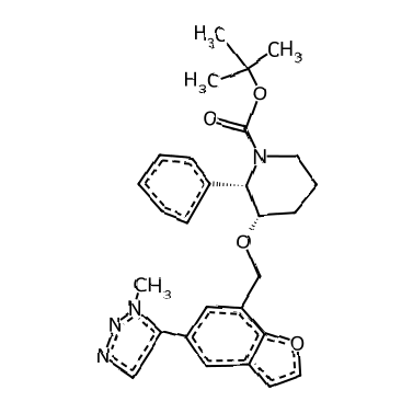 Cn1nncc1-c1cc(CO[C@H]2CCCN(C(=O)OC(C)(C)C)[C@H]2c2ccccc2)c2occc2c1